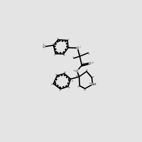 CC(C)(Oc1ccc(Cl)cc1)C(=O)OC1(c2ccccc2)CCNCC1